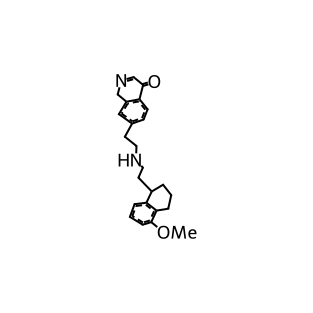 COc1cccc2c1CCCC2CCNCCc1ccc2c(c1)CN=CC2=O